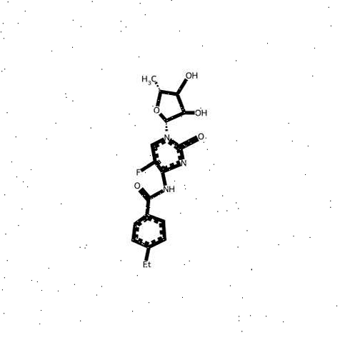 CCc1ccc(C(=O)Nc2nc(=O)n([C@@H]3O[C@H](C)C(O)C3O)cc2F)cc1